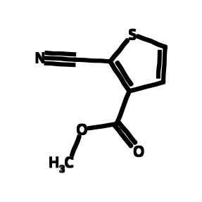 COC(=O)c1ccsc1C#N